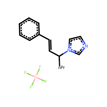 CCCC(C=Cc1ccccc1)n1ccnc1.F[B-](F)(F)F